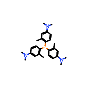 Cc1cc(N(C)C)ccc1P(c1ccc(N(C)C)cc1C)c1ccc(N(C)C)cc1C